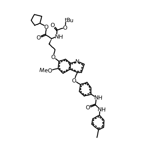 COc1cc2c(Oc3ccc(NC(=O)Nc4ccc(C)cc4)cc3)ccnc2cc1OCC[C@H](NC(=O)OC(C)(C)C)C(=O)OC1CCCC1